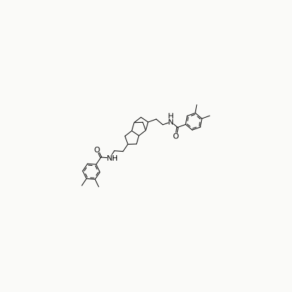 Cc1ccc(C(=O)NCCC2CC3C4CC(CCNC(=O)c5ccc(C)c(C)c5)C(C4)C3C2)cc1C